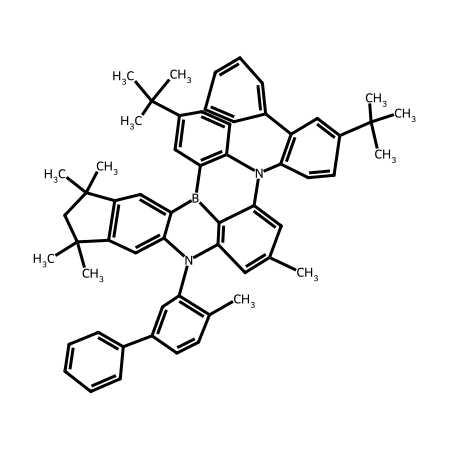 Cc1cc2c3c(c1)N(c1ccc(C(C)(C)C)cc1-c1ccccc1)c1ccc(C(C)(C)C)cc1B3c1cc3c(cc1N2c1cc(-c2ccccc2)ccc1C)C(C)(C)CC3(C)C